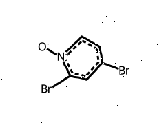 [O-][n+]1ccc(Br)cc1Br